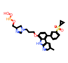 Cc1cnc2[nH]c3c(OCCCN4C=NC(COPOO)C4)ccc(-c4cccc(S(=O)(=O)C5CC5)c4)c3c2c1